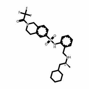 C[C@@H](CC1CCCCC1)NCc1ccccc1NS(=O)(=O)c1ccc2c(c1)CCN(C(=O)C(F)(F)F)C2